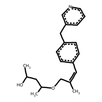 CC(=Cc1ccc(Cc2cccnc2)cc1)COC(C)CC(C)O